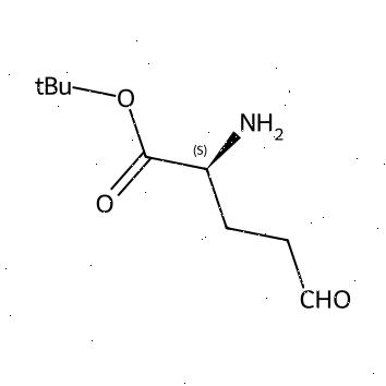 CC(C)(C)OC(=O)[C@@H](N)CCC=O